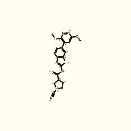 COc1cc(-c2ccc3nc(NC(=O)C4CCN(C#N)C4)sc3c2)c(OC)nn1